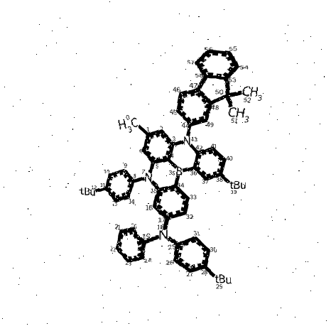 Cc1cc2c3c(c1)N(c1ccc(C(C)(C)C)cc1)c1cc(N(c4ccccc4)c4ccc(C(C)(C)C)cc4)ccc1B3c1cc(C(C)(C)C)ccc1N2c1ccc2c(c1)C(C)(C)c1ccccc1-2